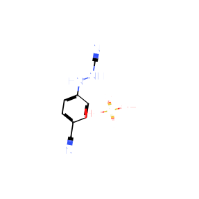 N#CNNc1ccc(C#N)cc1.O=S(=O)(O)O